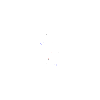 CCC(OC(C)N)OC(C)N